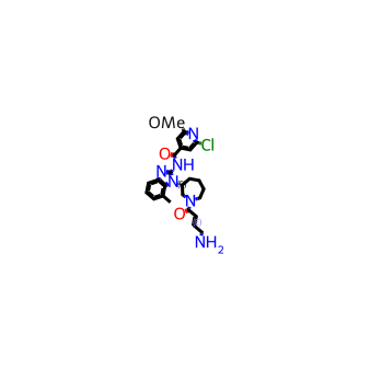 COc1cc(C(=O)Nc2nc3cccc(C)c3n2[C@@H]2CCCCN(C(=O)/C=C/CN)C2)cc(Cl)n1